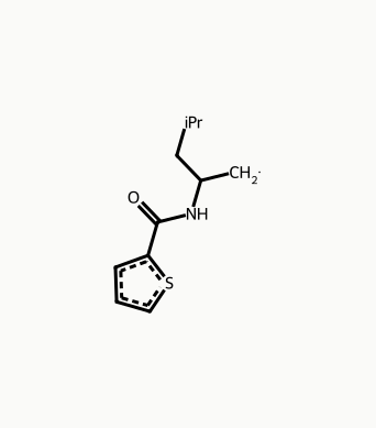 [CH2]C(CC(C)C)NC(=O)c1cccs1